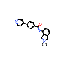 N#CN1Cc2cccc(NC(=O)c3ccc(-c4ccncc4)cc3)c2C1